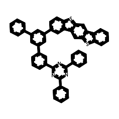 c1ccc(-c2cc(-c3cccc(-c4nc(-c5ccccc5)nc(-c5ccccc5)n4)c3)cc(-c3ccc4sc5cc6c(cc5c4c3)sc3ccccc36)c2)cc1